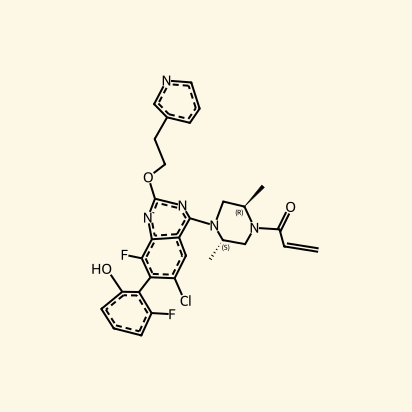 C=CC(=O)N1C[C@H](C)N(c2nc(OCCc3cccnc3)nc3c(F)c(-c4c(O)cccc4F)c(Cl)cc23)C[C@H]1C